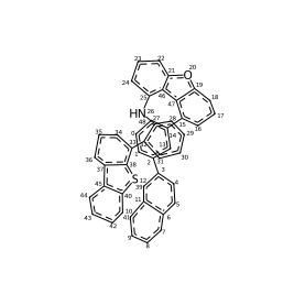 c1cc(-c2ccc3ccccc3c2)cc(-c2cccc3oc4cccc(Nc5ccccc5-c5cccc6c5sc5ccccc56)c4c23)c1